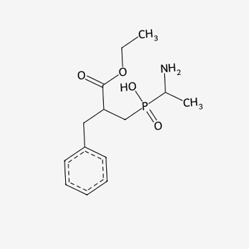 CCOC(=O)C(Cc1ccccc1)CP(=O)(O)C(C)N